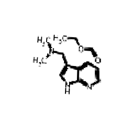 CCOC=O.CN(C)Cc1c[nH]c2ncccc12